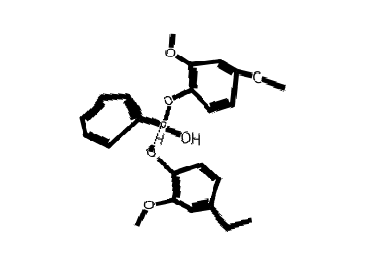 CCc1ccc(O[PH](O)(Oc2ccc(CC)cc2OC)c2ccccc2)c(OC)c1